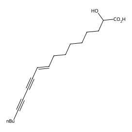 CCCCC#CC#CC=CCCCCCCC(O)C(=O)O